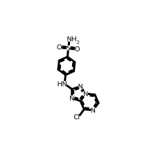 NS(=O)(=O)c1ccc(Nc2nc3c(Cl)nccn3n2)cc1